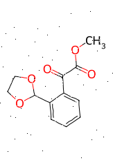 COC(=O)C(=O)c1ccccc1C1OCCO1